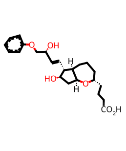 O=C(O)CCC[C@H]1CCC[C@@H]2[C@@H](/C=C/[C@@H](O)COc3ccccc3)[C@H](O)C[C@@H]2O1